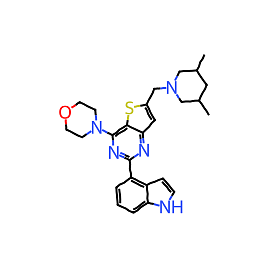 CC1CC(C)CN(Cc2cc3nc(-c4cccc5[nH]ccc45)nc(N4CCOCC4)c3s2)C1